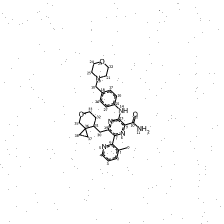 Cc1cccnc1-c1nc(C(N)=O)c(Nc2ccc(CN3CCOCC3)cc2)nc1CC1CCOCC12CC2